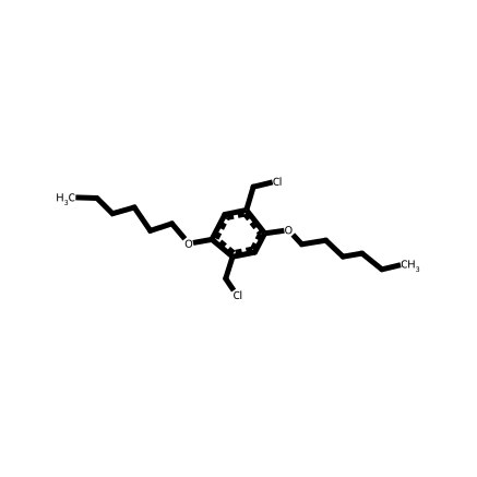 CCCCCCOc1cc(CCl)c(OCCCCCC)cc1CCl